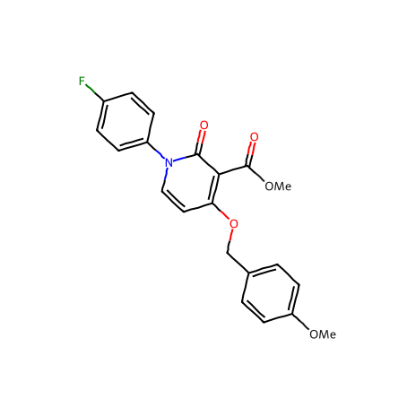 COC(=O)c1c(OCc2ccc(OC)cc2)ccn(-c2ccc(F)cc2)c1=O